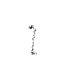 CCCC=CCCCCCCCCC=CCCC